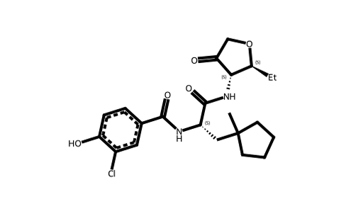 CC[C@@H]1OCC(=O)[C@H]1NC(=O)[C@H](CC1(C)CCCC1)NC(=O)c1ccc(O)c(Cl)c1